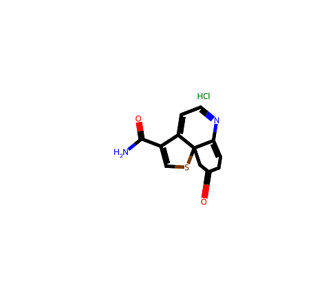 Cl.NC(=O)C1=CSC23CC(=O)CC=C2N=CC=C13